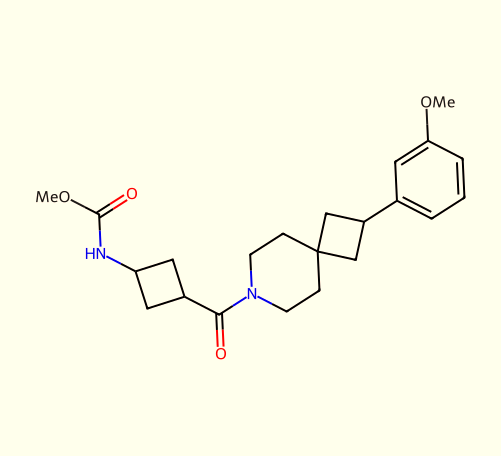 COC(=O)NC1CC(C(=O)N2CCC3(CC2)CC(c2cccc(OC)c2)C3)C1